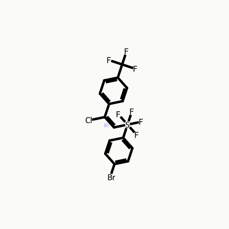 FC(F)(F)c1ccc(/C(Cl)=C\S(F)(F)(F)(F)c2ccc(Br)cc2)cc1